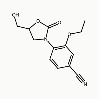 CCOc1cc(C#N)ccc1N1CC(CO)OC1=O